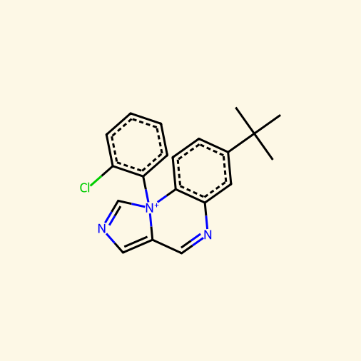 CC(C)(C)c1ccc2c(c1)N=CC1=CN=C[N+]12c1ccccc1Cl